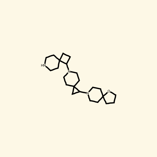 C1COC2(C1)CCN(C1CC13CCN(C1CCC14CCNCC4)CC3)CC2